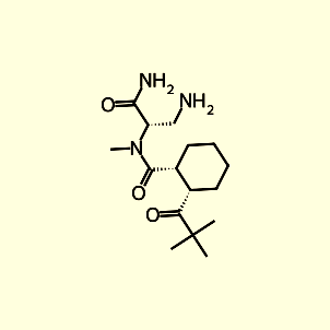 CN(C(=O)[C@@H]1CCCC[C@@H]1C(=O)C(C)(C)C)[C@@H](CN)C(N)=O